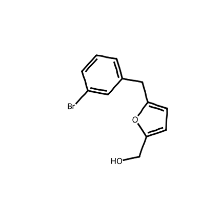 OCc1ccc(Cc2cccc(Br)c2)o1